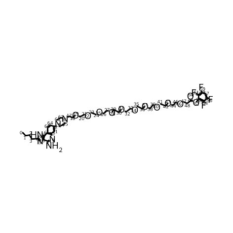 CCCCc1nc2c(N)nc3cc(N4CCN(CCOCCOCCOCCOCCOCCOCCOCCOCCOCCOCCC(=O)Oc5c(F)c(F)cc(F)c5F)CC4)ccc3c2[nH]1